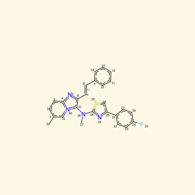 Cc1ccc2nc(/C=C/c3ccccc3)c(N(C)c3nc(-c4ccc(F)cc4)cs3)n2c1